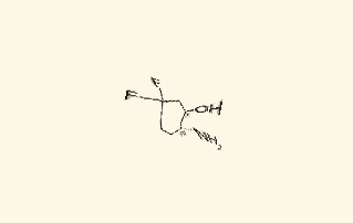 N[C@@H]1CCC(F)(F)C[C@H]1O